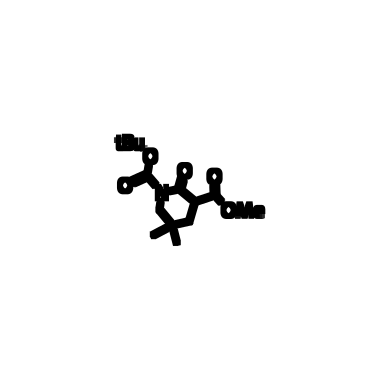 COC(=O)C1CC(C)(C)CN(C(=O)OC(C)(C)C)C1=O